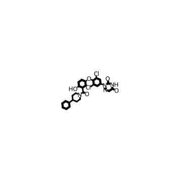 O=C(c1cc(Oc2c(Cl)cc(-n3ncc(=O)[nH]c3=O)cc2Cl)ccc1O)N1CCC(c2ccccc2)CC1